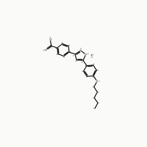 CCCCCOc1ccc(-c2cc(-c3ccc(C(=O)[O-])cc3)no2)cc1.[K+]